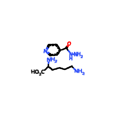 NCCCCC(N)C(=O)O.NNC(=O)c1ccncc1